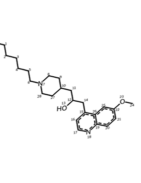 CCCCCCCN1CCC(CC(O)Cc2ccnc3ccc(OC)cc23)CC1